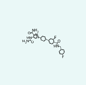 NC(=O)Nc1cn(-c2ccc(-c3ccc(C(=O)NCc4ccc(F)cc4)c(F)c3)cc2)nc1C(N)=O